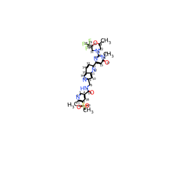 Cc1ncc(C(=O)NCc2cc3nc(-c4cc(=O)n(C)c(N5C[C@H](C)O[C@@H](C(F)(F)F)C5)n4)ccc3cn2)cc1S(C)(=O)=O